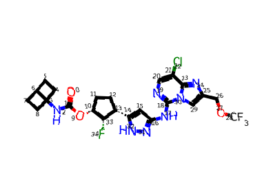 O=C(NC12CCC1CC2)O[C@@H]1CC[C@H](c2cc(Nc3ncc(Cl)c4nc(COC(F)(F)F)cn34)n[nH]2)[C@@H]1F